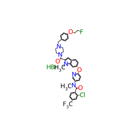 Br.CN(C(=O)c1ccc(C(F)(F)F)cc1Cl)c1ccc(Oc2ccc3cc(C(=O)N4CCN(Cc5ccc(OCCF)cc5)CC4)n(C)c3c2)nc1